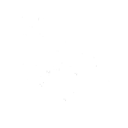 CN1CC(NS(=N)(=O)c2ccc(OC(F)(F)F)cc2)C(O)C(N2c3ccccc3Sc3ccccc32)C1